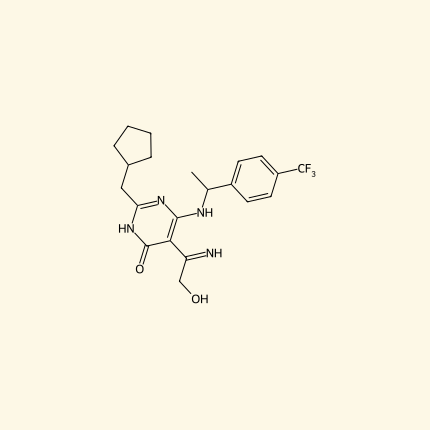 CC(Nc1nc(CC2CCCC2)[nH]c(=O)c1C(=N)CO)c1ccc(C(F)(F)F)cc1